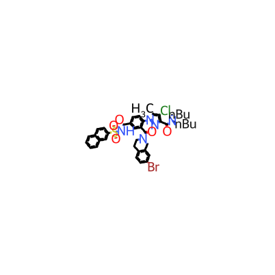 CCCCN(CCCC)C(=O)c1nn(-c2ccc(C(=O)NS(=O)(=O)c3ccc4ccccc4c3)cc2C(=O)N2CCc3ccc(Br)cc3C2)c(C)c1Cl